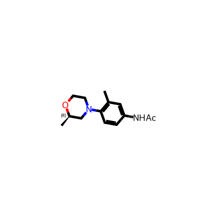 CC(=O)Nc1ccc(N2CCO[C@H](C)C2)c(C)c1